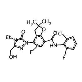 CCn1c(CO)nn(-c2c(F)cc(C(=O)Nc3c(F)cccc3Cl)c3c2CC(C)(C)O3)c1=O